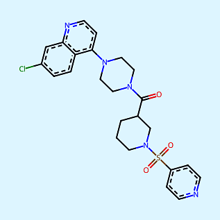 O=C(C1CCCN(S(=O)(=O)c2ccncc2)C1)N1CCN(c2ccnc3cc(Cl)ccc23)CC1